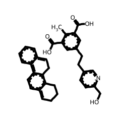 C1=c2ccc3c(c2CCC1)CC=c1ccccc1=3.Cc1c(C(=O)O)cc(CCc2ccc(CO)nc2)cc1C(=O)O